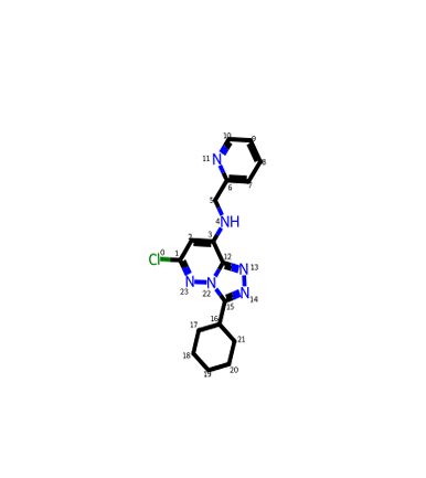 Clc1cc(NCc2ccccn2)c2nnc(C3CCCCC3)n2n1